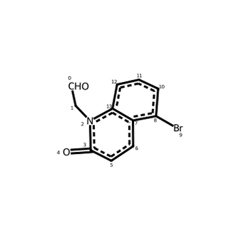 O=CCn1c(=O)ccc2c(Br)cccc21